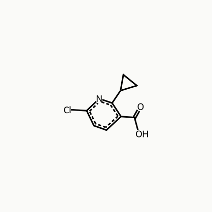 O=C(O)c1ccc(Cl)nc1C1CC1